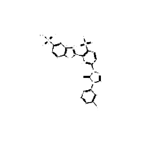 CCS(=O)(=O)c1ccc(-n2ncn(-c3cccc(F)c3)c2=O)nc1-c1nc2cc(S(=O)(=O)C(F)(F)F)ccc2o1